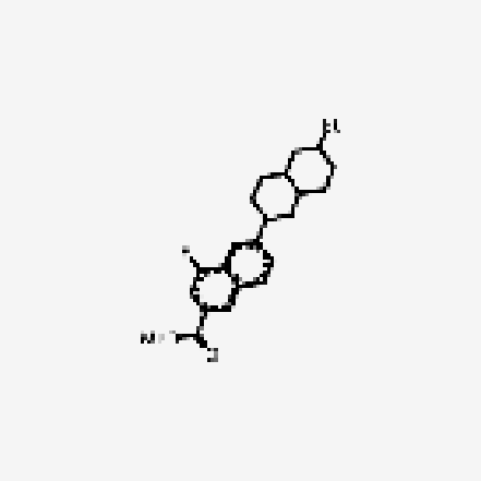 CCC1CCC2CC(c3ccc4cc(C(=O)OC)cc(F)c4c3)CCC2C1